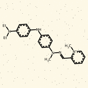 CCN(CC)c1ccc(Nc2ccc(N(C)/N=C/c3cccc[n+]3C)cc2)cc1